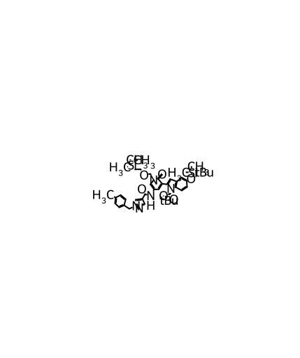 Cc1ccc(Cn2cc(C(=O)Nc3cc(-c4cc5cc(O[Si](C)(C)C(C)(C)C)ccc5n4C(=O)OC(C)(C)C)c(=O)n(COCC[Si](C)(C)C)c3)cn2)cc1